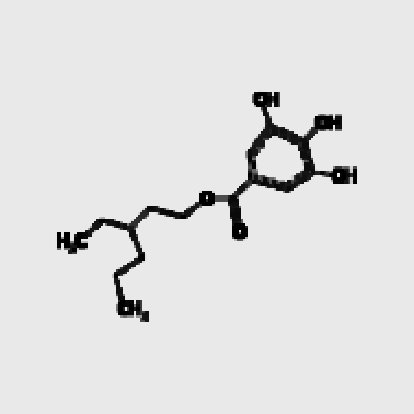 CCCC(CC)CCOC(=O)c1cc(O)c(O)c(O)c1